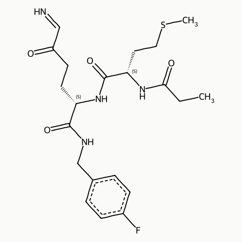 CCC(=O)N[C@@H](CCSC)C(=O)N[C@@H](CCC(=O)C=N)C(=O)NCc1ccc(F)cc1